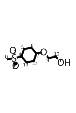 CS(=O)(=O)C1CCC(OCCO)CC1